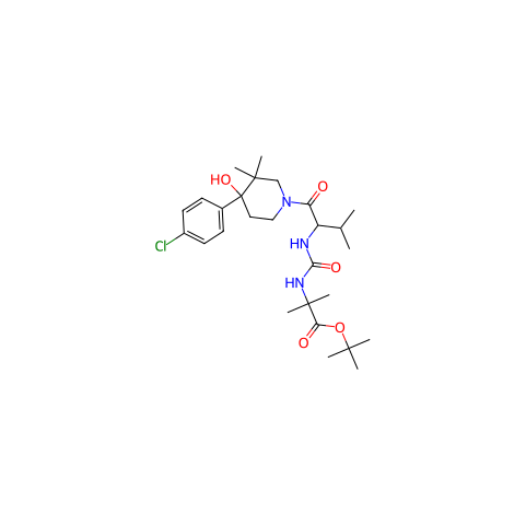 CC(C)C(NC(=O)NC(C)(C)C(=O)OC(C)(C)C)C(=O)N1CCC(O)(c2ccc(Cl)cc2)C(C)(C)C1